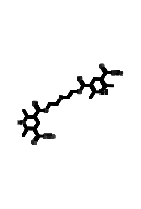 COC(=O)C1=C(C)NC(C)=C(C(=O)OCCSCCOC(=O)C2=C(C)NC(C)=C(C(=O)OC)C2)C1